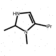 CC(C)C1=CNC(C)N1C